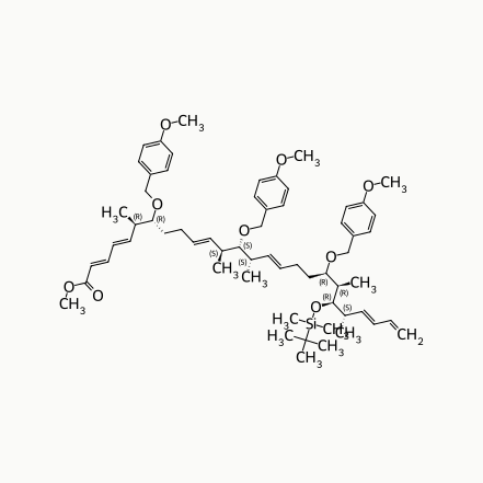 C=CC=C[C@H](C)[C@@H](O[Si](C)(C)C(C)(C)C)[C@H](C)[C@@H](CCC=C[C@H](C)[C@@H](OCc1ccc(OC)cc1)[C@@H](C)C=CCC[C@@H](OCc1ccc(OC)cc1)[C@H](C)C=CC=CC(=O)OC)OCc1ccc(OC)cc1